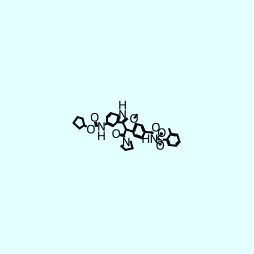 COc1cc(C(=O)NS(=O)(=O)c2ccccc2C)ccc1C(C(=O)N1CCCC1)c1c[nH]c2ccc(NC(=O)OC3CCCC3)cc12